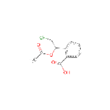 CC(=O)OC(CCl)c1ccccc1C(=O)O